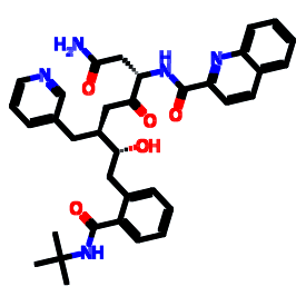 CC(C)(C)NC(=O)c1ccccc1C[C@@H](O)[C@H](CC(=O)[C@H](CC(N)=O)NC(=O)c1ccc2ccccc2n1)Cc1cccnc1